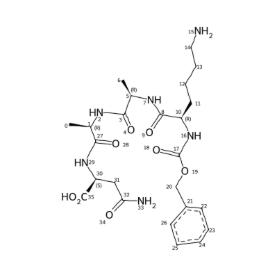 C[C@@H](NC(=O)[C@@H](C)NC(=O)[C@@H](CCCCN)NC(=O)OCc1ccccc1)C(=O)N[C@@H](CC(N)=O)C(=O)O